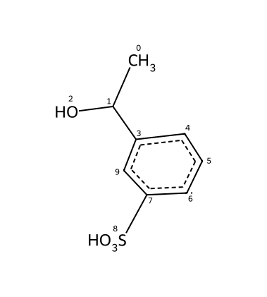 CC(O)c1cc[c]c(S(=O)(=O)O)c1